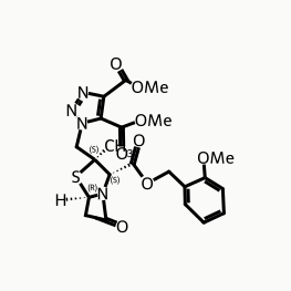 COC(=O)c1nnn(C[C@]2(C)S[C@@H]3CC(=O)N3[C@H]2C(=O)OCc2ccccc2OC)c1C(=O)OC